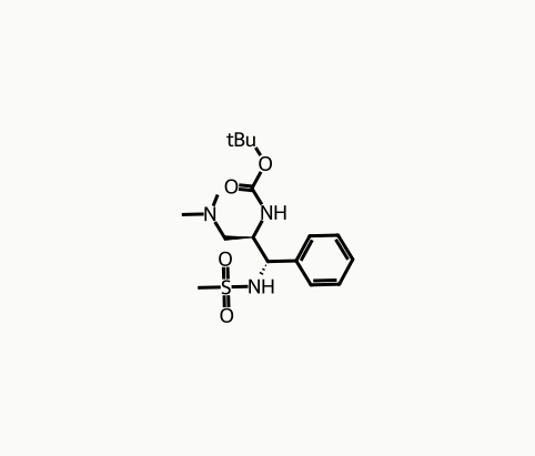 CN(C)C[C@@H](NC(=O)OC(C)(C)C)[C@@H](NS(C)(=O)=O)c1ccccc1